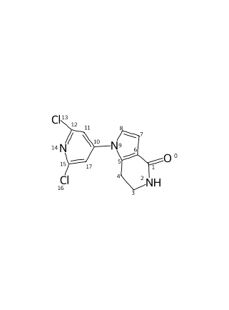 O=C1NCCc2c1ccn2-c1cc(Cl)nc(Cl)c1